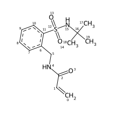 C=CC(=O)NCc1ccccc1S(=O)(=O)NC(C)(C)C